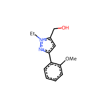 CCn1nc(-c2ccccc2OC)cc1CO